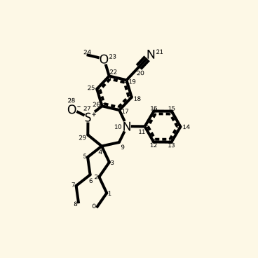 CCCCC1(CCCC)CN(c2ccccc2)c2cc(C#N)c(OC)cc2[S+]([O-])C1